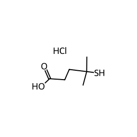 CC(C)(S)CCC(=O)O.Cl